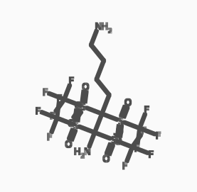 NCCCCC(C(N)(S(=O)(=O)C(F)(F)F)S(=O)(=O)C(F)(F)F)(S(=O)(=O)C(F)(F)F)S(=O)(=O)C(F)(F)F